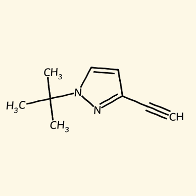 C#Cc1ccn(C(C)(C)C)n1